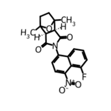 CC12CCC(C)(O1)[C@H]1C(=O)N(c3ccc([N+](=O)[O-])c4c(F)cccc34)C(=O)[C@H]12